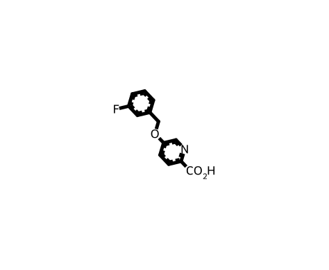 O=C(O)c1ccc(OCc2cccc(F)c2)cn1